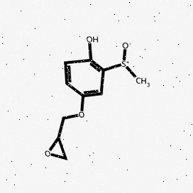 C[S+]([O-])c1cc(OCC2CO2)ccc1O